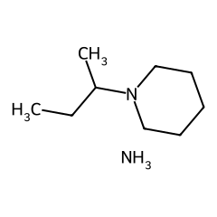 CCC(C)N1CCCCC1.N